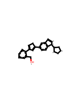 OCc1ccccc1C1=CCC(c2ccc3c(c2)C=CC3C2CCCC2)=C1